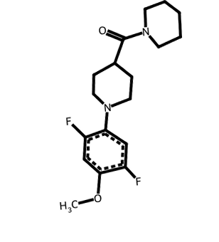 COc1cc(F)c(N2CCC(C(=O)N3CCCCC3)CC2)cc1F